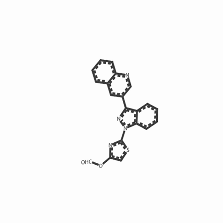 O=COc1csc(-n2nc(-c3cnc4ccccc4c3)c3ccccc32)n1